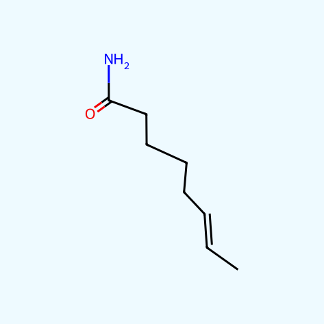 CC=CCCCCC(N)=O